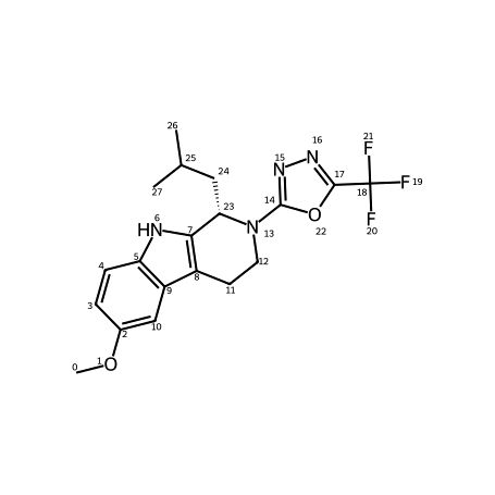 COc1ccc2[nH]c3c(c2c1)CCN(c1nnc(C(F)(F)F)o1)[C@H]3CC(C)C